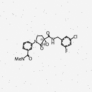 CNC(=O)c1cccc(N2CC[C@](O)(C(=O)NCc3cc(F)cc(Cl)c3)C2=O)c1